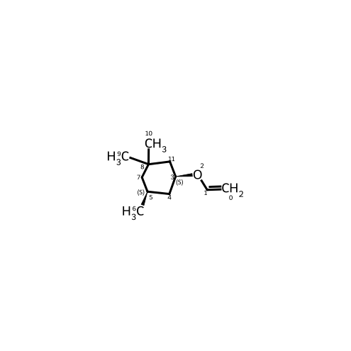 C=CO[C@H]1C[C@@H](C)CC(C)(C)C1